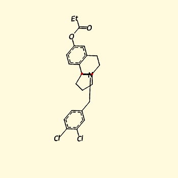 CCC(=O)Oc1ccc2c(c1)CCC13CCCC21CCN(Cc1ccc(Cl)c(Cl)c1)C3